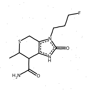 CC1SCc2c([nH]c(=O)n2CCCF)C1C(N)=O